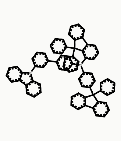 c1ccc(C2(c3ccc(N(c4ccc(-c5cccc(-n6c7ccccc7c7ccccc76)c5)cc4)c4cccc5c4C(c4ccccc4)(c4ccccc4)c4ccccc4-5)cc3)c3ccccc3-c3ccccc32)cc1